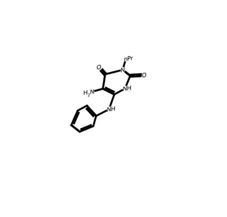 CCCn1c(=O)[nH]c(Nc2ccccc2)c(N)c1=O